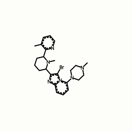 Cc1cccnc1C1CCCC(c2nc3cccc(N4CCN(C)CC4)n3c2Br)N1C